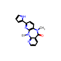 CCN1c2ncccc2C(=O)N(C)c2ccc(-c3ccc[nH]3)nc21